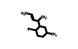 [CH2]C(/C=C/C)C1CC(C)CCC1C(C)C